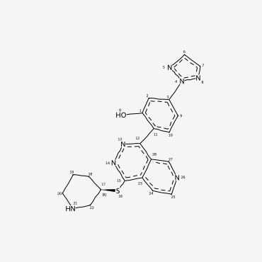 Oc1cc(-n2nccn2)ccc1-c1nnc(S[C@@H]2CCCNC2)c2ccncc12